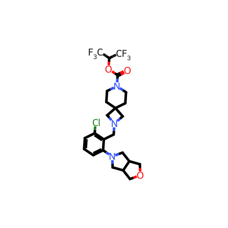 O=C(OC(C(F)(F)F)C(F)(F)F)N1CCC2(CC1)CN(Cc1c(Cl)cccc1N1CC3COCC3C1)C2